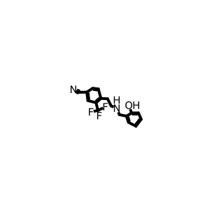 N#Cc1ccc(CCNCc2ccccc2O)c(C(F)(F)F)c1